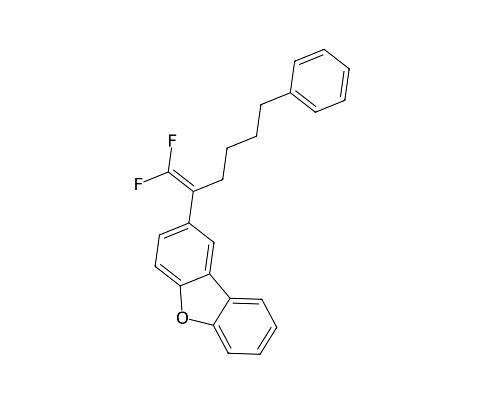 FC(F)=C(CCCCc1ccccc1)c1ccc2oc3ccccc3c2c1